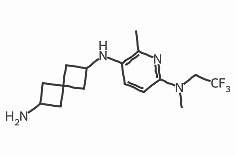 Cc1nc(N(C)CC(F)(F)F)ccc1NC1CC2(CC(N)C2)C1